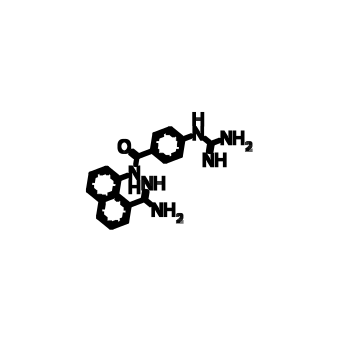 N=C(N)Nc1ccc(C(=O)Nc2cccc3cccc(C(=N)N)c23)cc1